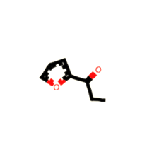 CCC(=O)c1ccco1